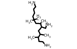 CC(CCN)C(C)CC(CN)C(C)CC(C)(C)CCCCN